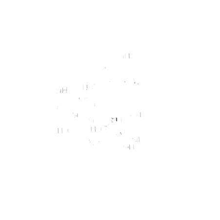 C[Si](C)(O[SiH3])[Si](O[Si](c1ccccc1)([Si](C)(C)O[SiH3])[Si](C)(C)O[SiH3])(c1ccccc1)[Si](C)(C)O[SiH3]